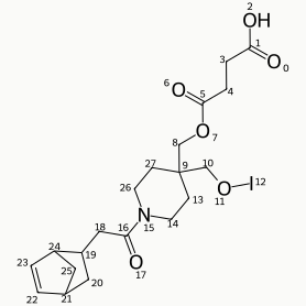 O=C(O)CCC(=O)OCC1(COI)CCN(C(=O)CC2CC3C=CC2C3)CC1